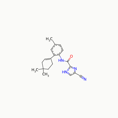 Cc1ccc(NC(=O)c2nc(C#N)c[nH]2)c(C2=CCC(C)(C)CC2)c1